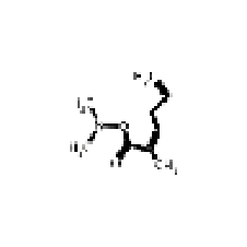 C=CCC=C(C)C(=O)ON(C)C